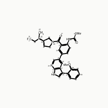 COC(=O)Nc1ccc(-c2cnc3[nH]cc(-c4ccccc4OC)c3c2)cc1C(=O)N1CCC(N(C)CC(F)(F)F)C1